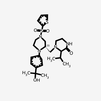 CC(C)C1C(=O)NCCN1C[C@H]1CN(S(=O)(=O)c2cccs2)CCN1c1ccc(C(C)(C)O)cc1